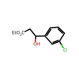 CCOC(=O)CC(O)c1cccc(Cl)c1